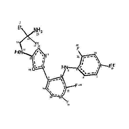 CCc1ccc(Nc2c(-c3nnc(NCC(N)(CC)CC)o3)ccc(F)c2F)c(F)c1